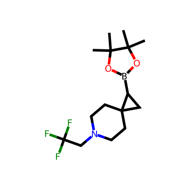 CC1(C)OB(C2CC23CCN(CC(F)(F)F)CC3)OC1(C)C